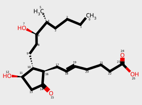 CCCC[C@@H](C)[C@H](O)CC[C@H]1[C@H](O)CC(=O)[C@@H]1CC=CCCCC(=O)O